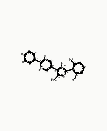 Fc1cccc(Cl)c1-c1nc(Br)c(-c2cnc(-c3ccccc3)nc2)[nH]1